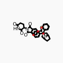 O=C1CCC(N2C(=O)c3ccc(C(=O)N4CC5CCC(C4)N5C(c4ccccc4)c4ccccc4)cc3C2=O)C(=O)N1